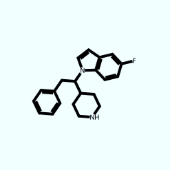 Fc1ccc2c(ccn2C(Cc2ccccc2)C2CCNCC2)c1